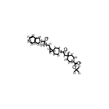 CC1(CC(=O)N2CCC3(CC2)CC3CNC(=O)N2Cc3ccncc3C2)CCN(C(=O)OC(C)(C)C)CC1